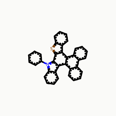 c1ccc(-n2c3ccccc3c3c4c5ccccc5c5ccccc5c4c4c5ccccc5sc4c32)cc1